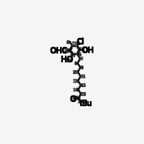 Cc1c(Cl)c(O)c(CCCCCCCCCC(=O)C(C)(C)C)c(O)c1C=O